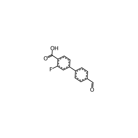 O=Cc1ccc(-c2ccc(C(=O)O)c(F)c2)cc1